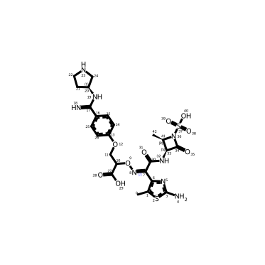 Cc1sc(N)nc1/C(=N/OC(COc1ccc(C(=N)N[C@H]2CCNC2)cc1)C(=O)O)C(=O)N[C@@H]1C(=O)N(S(=O)(=O)O)[C@@H]1C